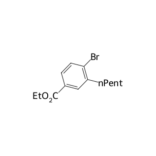 CCCCCc1cc(C(=O)OCC)ccc1Br